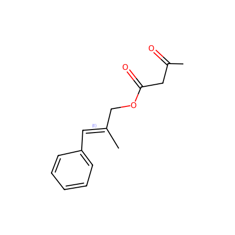 CC(=O)CC(=O)OC/C(C)=C/c1ccccc1